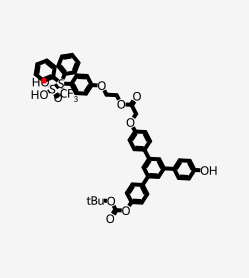 CC(C)(C)OC(=O)Oc1ccc(-c2cc(-c3ccc(O)cc3)cc(-c3ccc(OCC(=O)OCCOc4ccc(S(c5ccccc5)(c5ccccc5)(C(F)(F)F)=S(=O)(O)O)cc4)cc3)c2)cc1